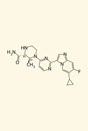 C[C@H]1[C@H](C(N)=O)NCCN1c1ccnc(-c2cnc3cc(F)c(C4CC4)cn23)n1